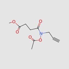 C#CCN(OC(C)=O)C(=O)CCC(=O)OC